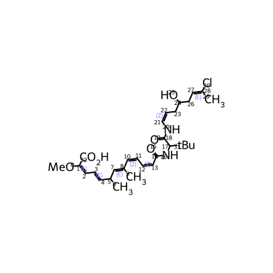 CO/C(=C/C=C/C(C)/C=C(C)/C=C\C=C/C(=O)NC(C(=O)N/C=C\CC(O)C/C=C(\C)Cl)C(C)(C)C)C(=O)O